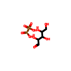 O=CC(O)C(O)C(O)CO.O=S(O)S(=O)(=O)O